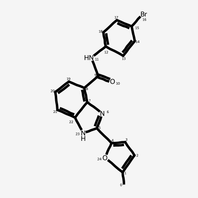 Cc1ccc(-c2nc3c(C(=O)Nc4ccc(Br)cc4)cccc3[nH]2)o1